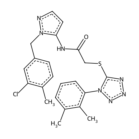 Cc1ccc(Cn2nccc2NC(=O)CSc2nnnn2-c2cccc(C)c2C)cc1Cl